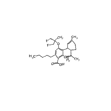 C=C(C)C1CCC(C)=CC1c1c(OC(C)(CF)CF)cc(CCCCC)c(C(=O)O)c1O